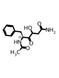 CC(=O)N[C@@H](Cc1ccccc1)C(=O)C(O)CC(N)=O